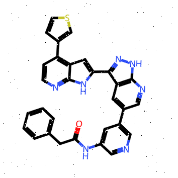 O=C(Cc1ccccc1)Nc1cncc(-c2cnc3[nH]nc(-c4cc5c(-c6ccsc6)ccnc5[nH]4)c3c2)c1